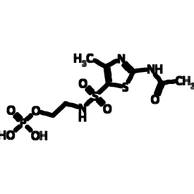 CC(=O)Nc1nc(C)c(S(=O)(=O)NCCOP(=O)(O)O)s1